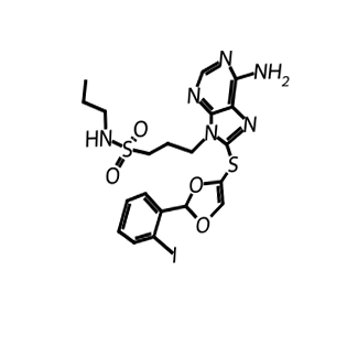 CCCNS(=O)(=O)CCCn1c(SC2=COC(c3ccccc3I)O2)nc2c(N)ncnc21